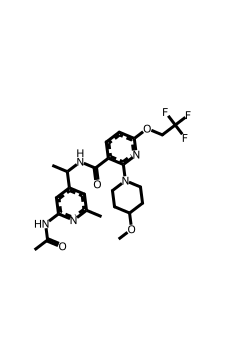 COC1CCN(c2nc(OCC(F)(F)F)ccc2C(=O)NC(C)c2cc(C)nc(NC(C)=O)c2)CC1